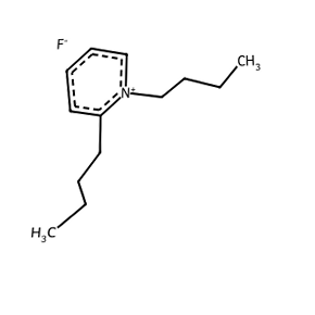 CCCCc1cccc[n+]1CCCC.[F-]